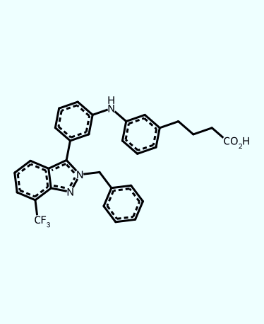 O=C(O)CCCc1cccc(Nc2cccc(-c3c4cccc(C(F)(F)F)c4nn3Cc3ccccc3)c2)c1